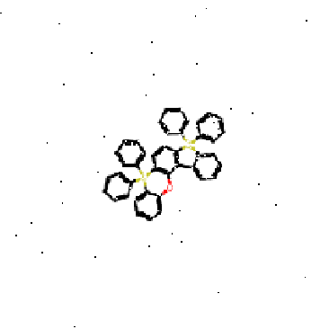 c1ccc(S2(c3ccccc3)c3ccccc3Oc3c2ccc2c3-c3ccccc3S2(c2ccccc2)c2ccccc2)cc1